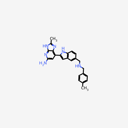 Cc1ccc(CNCc2ccc3[nH]c(-c4cc(N)nc5[nH]c(C)nc45)cc3c2)cc1